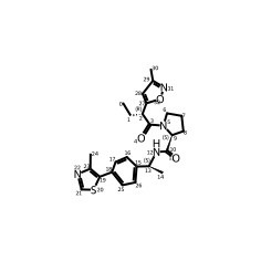 CC[C@@H](C(=O)N1CCC[C@H]1C(=O)N[C@@H](C)c1ccc(-c2scnc2C)cc1)c1cc(C)no1